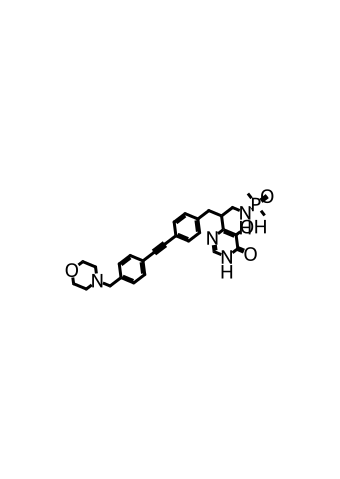 CP(C)(=O)NCC(Cc1ccc(C#Cc2ccc(CN3CCOCC3)cc2)cc1)c1nc[nH]c(=O)c1O